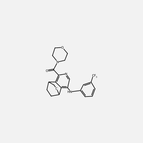 O=C(c1ncc(Nc2cccc(C(F)(F)F)c2)c2c1C1CCC2CC1)N1CCOCC1